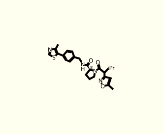 Cc1cc(C(C(=O)N2CCC[C@H]2C(=O)NCc2ccc(-c3scnc3C)cc2)C(C)C)no1